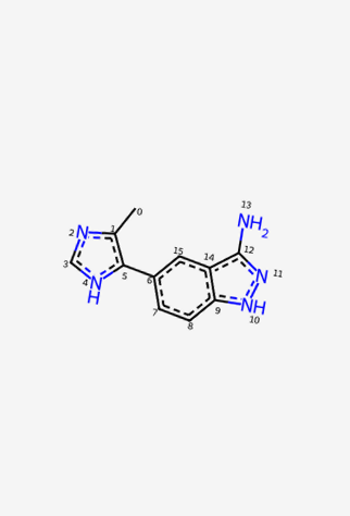 Cc1nc[nH]c1-c1ccc2[nH]nc(N)c2c1